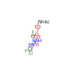 CC(=O)NCC1CCC(CCOc2c(F)ccc3nc(C(=O)NCc4ccc(F)c(Cl)c4)[nH]c(=O)c23)CO1